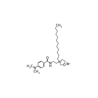 CCCCCCCCCCCC[N+]1(CCNC(=O)c2ccc(N(C)C)cc2)CCOC1.[Br-]